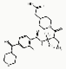 CCC(C(=O)N1CCC(CC(=O)O)CC1)C(C)(C)NC(=O)c1ccc(C(=N)N2CCOCC2)cc1F